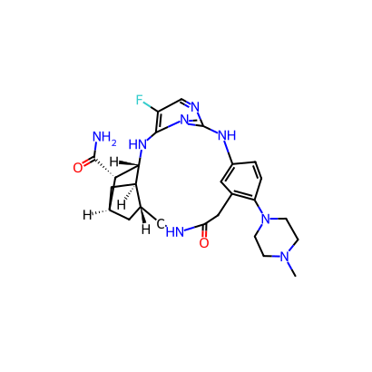 CN1CCN(c2ccc3cc2CC(=O)NC[C@@H]2C[C@@H]4C[C@H]2[C@@H](Nc2nc(ncc2F)N3)[C@H]4C(N)=O)CC1